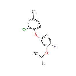 CCC(C#N)Oc1cc(Oc2ccc(C(F)(F)F)cc2Cl)ccc1I